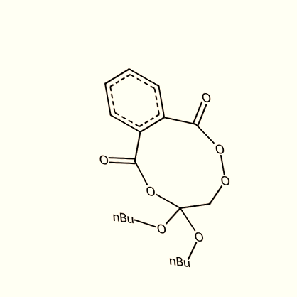 CCCCOC1(OCCCC)COOC(=O)c2ccccc2C(=O)O1